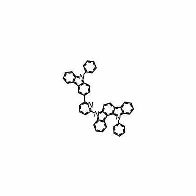 c1ccc(-n2c3ccccc3c3cc(-c4cccc(-n5c6ccccc6c6c5ccc5c7ccccc7n(-c7ccccc7)c56)n4)ccc32)cc1